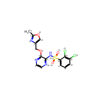 Cc1nc(COc2nccnc2NS(=O)(=O)c2cccc(Cl)c2Cl)co1